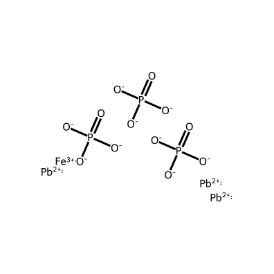 O=P([O-])([O-])[O-].O=P([O-])([O-])[O-].O=P([O-])([O-])[O-].[Fe+3].[Pb+2].[Pb+2].[Pb+2]